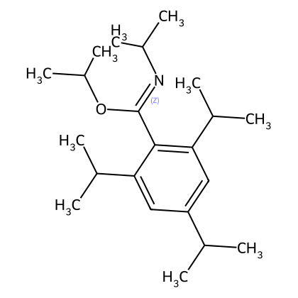 CC(C)/N=C(\OC(C)C)c1c(C(C)C)cc(C(C)C)cc1C(C)C